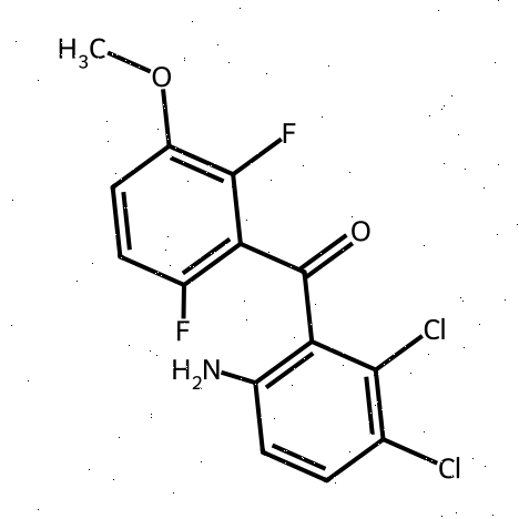 COc1ccc(F)c(C(=O)c2c(N)ccc(Cl)c2Cl)c1F